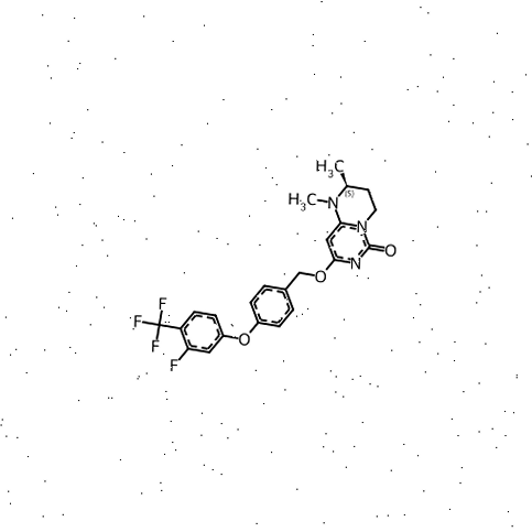 C[C@H]1CCn2c(cc(OCc3ccc(Oc4ccc(C(F)(F)F)c(F)c4)cc3)nc2=O)N1C